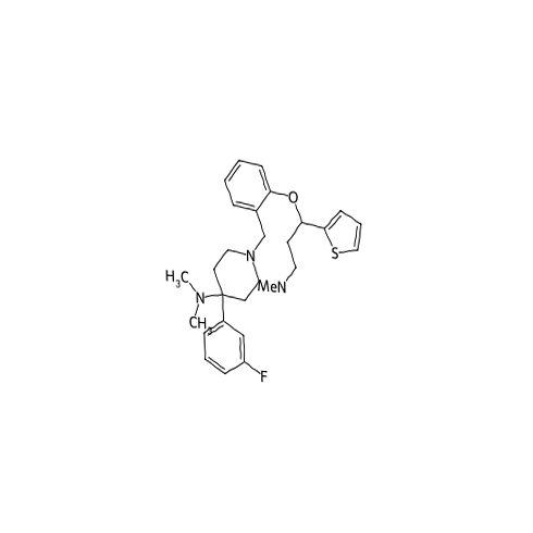 CNCCC(Oc1ccccc1CN1CCC(c2cccc(F)c2)(N(C)C)CC1)c1cccs1